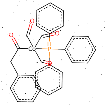 O=[CH][Co]([CH]=O)([CH]=O)([C](=O)Cc1ccccc1)[PH](c1ccccc1)(c1ccccc1)c1ccccc1